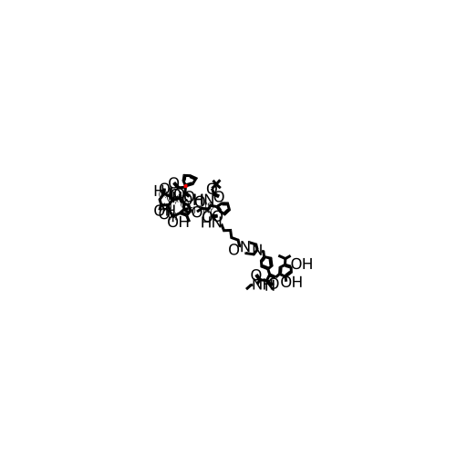 CCNC(=O)c1noc(-c2cc(C(C)C)c(O)cc2O)c1-c1ccc(CN2CCN(C(=O)CCCCCNC(=O)O[C@@H](C(=O)O[C@H]3C[C@@]4(O)[C@@H](OC(=O)c5ccccc5)[C@@H]5[C@]6(OC(C)=O)CO[C@@H]6CC(O)[C@@]5(C)C(=O)[C@H](O)C(=C3C)C4(C)C)[C@@H](NC(=O)OC(C)(C)C)c3ccccc3)CC2)cc1